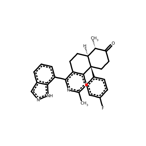 Cc1nc(-c2cccc3cn[nH]c23)c2c(n1)[C@@]1(c3ccc(F)cc3)CCC(=O)[C@@H](C)[C@@H]1CC2